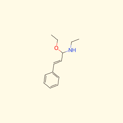 CCNC(C=Cc1ccccc1)OCC